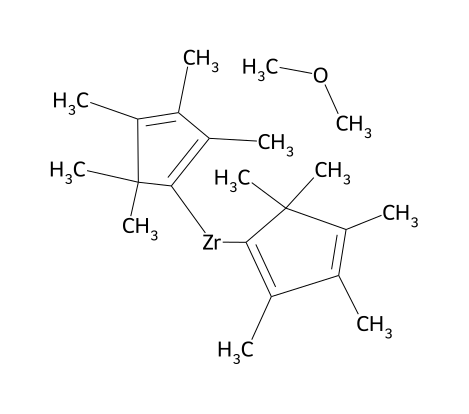 CC1=C(C)C(C)(C)[C]([Zr][C]2=C(C)C(C)=C(C)C2(C)C)=C1C.COC